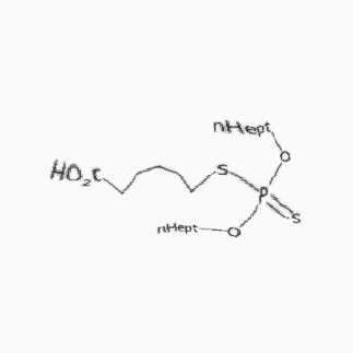 CCCCCCCOP(=S)(OCCCCCCC)SCCCC(=O)O